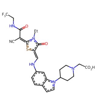 CCn1c(=O)/c(=C/Nc2ccc3ccn(C4CCN(CC(=O)O)CC4)c3c2)s/c1=C(\C#N)C(=O)NCC(F)(F)F